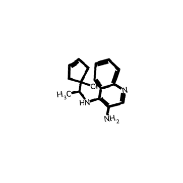 CC(Nc1c(N)cnc2ccccc12)C1(O)CC=CC1